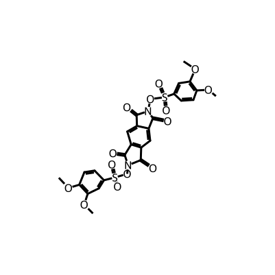 COc1ccc(S(=O)(=O)On2c(=O)c3cc4c(=O)n(OS(=O)(=O)c5ccc(OC)c(OC)c5)c(=O)c4cc3c2=O)cc1OC